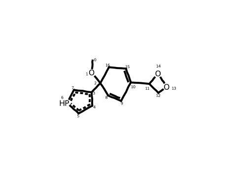 COC1(c2cc[pH]c2)C=CC(C2COO2)=CC1